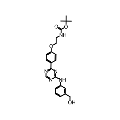 CC(C)(C)OC(=O)NCCOc1ccc(-c2ncnc(Nc3cccc(CO)c3)n2)cc1